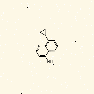 Nc1ccnc2c(C3CC3)cccc12